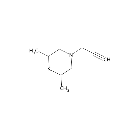 C#CCN1CC(C)SC(C)C1